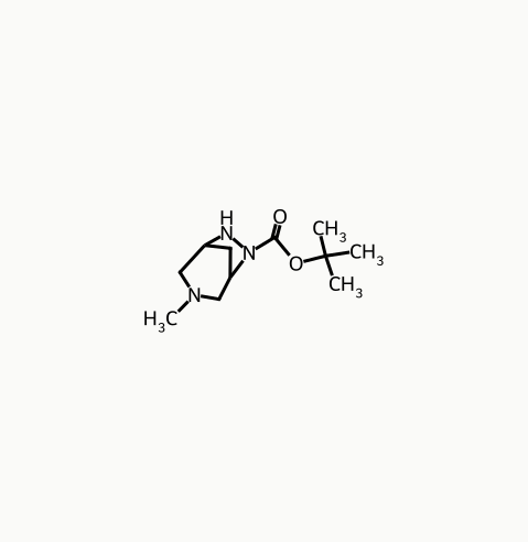 CN1CC2CC(C1)N(C(=O)OC(C)(C)C)N2